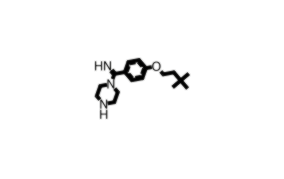 CC(C)(C)CCOc1ccc(C(=N)N2CCNCC2)cc1